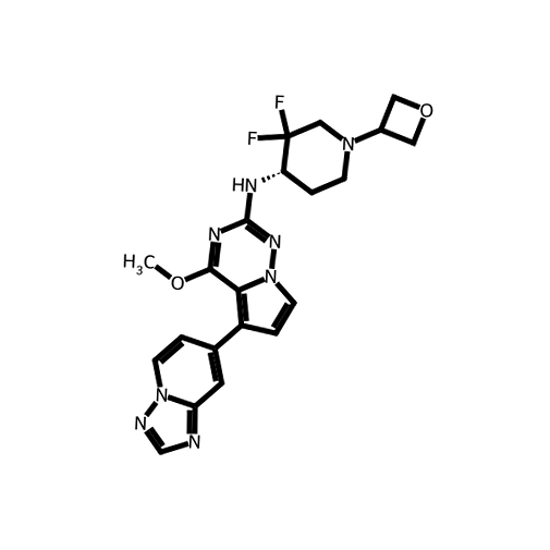 COc1nc(N[C@H]2CCN(C3COC3)CC2(F)F)nn2ccc(-c3ccn4ncnc4c3)c12